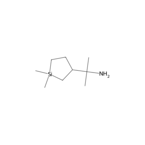 CC(C)(N)C1CC[Si](C)(C)C1